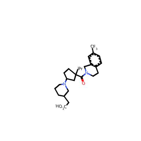 CC(C)C1(C(=O)N2CCc3ccc(C(F)(F)F)cc3C2)CCC(N2CCCC(CC(=O)O)C2)C1